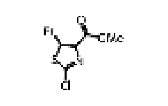 CCC1SC(Cl)=NC1C(=O)OC